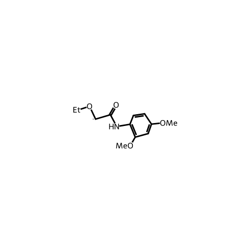 CCO[CH]C(=O)Nc1ccc(OC)cc1OC